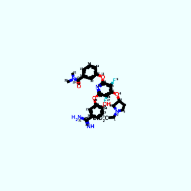 CCOC(=O)CN1CCC(Oc2c(F)c(Oc3cccc(C(=O)N(C)C)c3)nc(Oc3cc(C(=N)N)ccc3O)c2F)C1